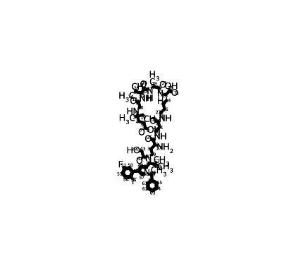 CCC(C)(CCC(=O)O)NCC(=O)NC(C(=O)N[C@@H](C)C(=O)N[C@@H](CCCCNC(=O)CCNC(=O)[C@@H](N)CCN(C(=O)CO)[C@@H](c1cc(-c2cc(F)ccc2F)cn1Cc1ccccc1)C(C)(C)C)C(=O)O)C(C)C